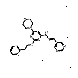 C(=N\Nc1cc(N2CCOCC2)nc(OCCc2ccccn2)n1)/c1cncnc1